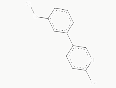 CCOc1cccc(-c2ccc(C(C)=O)nc2)c1